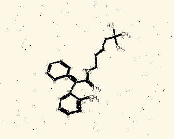 C=C(NCCCCC(C)(C)C)/C(=C1\C=CC=CC1)c1ccccc1C